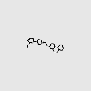 Fc1cccc(C2=CCN(CCc3ccc4c(c3)CCc3ccccc3-4)CC2)c1